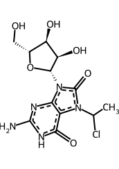 CC(Cl)n1c(=O)n([C@@H]2O[C@H](CO)[C@@H](O)[C@H]2O)c2nc(N)[nH]c(=O)c21